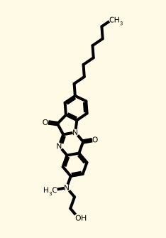 CCCCCCCCc1ccc2c(c1)C(=O)c1nc3cc(N(C)CCO)ccc3c(=O)n1-2